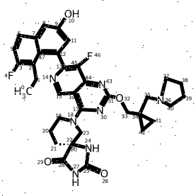 CCc1c(F)ccc2cc(O)cc(-c3ncc4c(N5CCC[C@]6(C5)NC(=O)NC6=O)nc(OCC5(CN6CCCC6)CC5)nc4c3F)c12